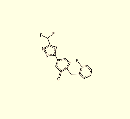 O=c1cc(-c2nnc(C(F)F)o2)ccn1Cc1ccccc1F